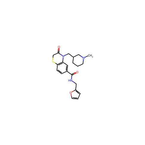 CN1CCCC(CN2C(=O)CSc3ccc(C(=O)NCc4ccco4)cc32)C1